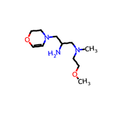 COCCN(C)CC(N)CN1C=COCC1